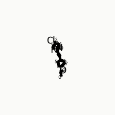 CCOc1ccc(C#Cc2ncc(Cl)cn2)cc1